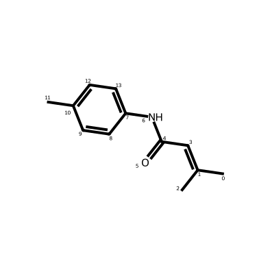 CC(C)=CC(=O)Nc1ccc(C)cc1